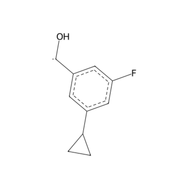 O[CH]c1cc(F)cc(C2CC2)c1